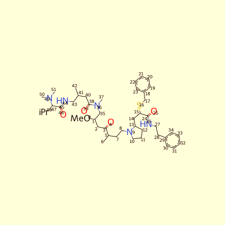 COC(CC(=O)C(C)CCN1CCCC1CC(SCc1ccccc1)C(=O)NCCc1ccccc1)CN(C)C(=O)CC(C)CNC(=O)C(C(C)C)N(C)C